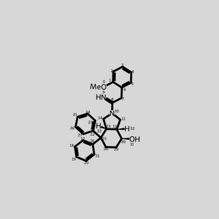 COc1ccccc1CC(=N)N1C[C@H]2[C@@H](C1)C(c1ccccc1)(c1ccccc1)CC[C@@H]2O